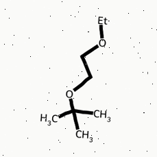 C[CH]OCCOC(C)(C)C